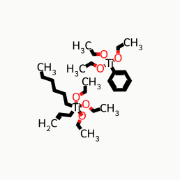 C=C[CH2][Ti]([CH2]CCCCC)([O]CC)([O]CC)[O]CC.CC[O][Ti]([O]CC)([O]CC)[c]1ccccc1